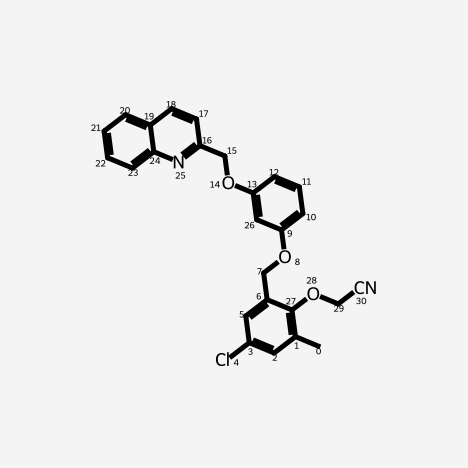 Cc1cc(Cl)cc(COc2cccc(OCc3ccc4ccccc4n3)c2)c1OCC#N